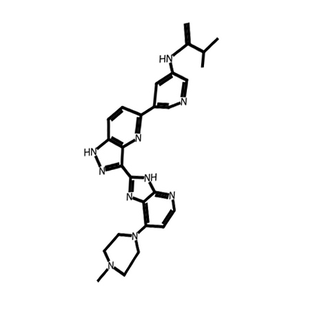 C=C(Nc1cncc(-c2ccc3[nH]nc(-c4nc5c(N6CCN(C)CC6)ccnc5[nH]4)c3n2)c1)C(C)C